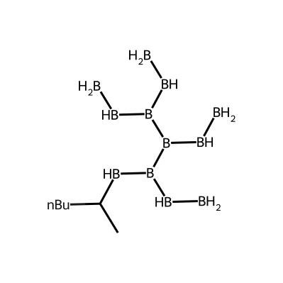 BBB(BB)B(BB)B(BB)BC(C)CCCC